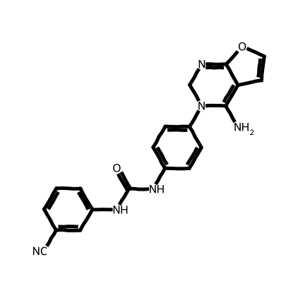 N#Cc1cccc(NC(=O)Nc2ccc(N3CN=c4occc4=C3N)cc2)c1